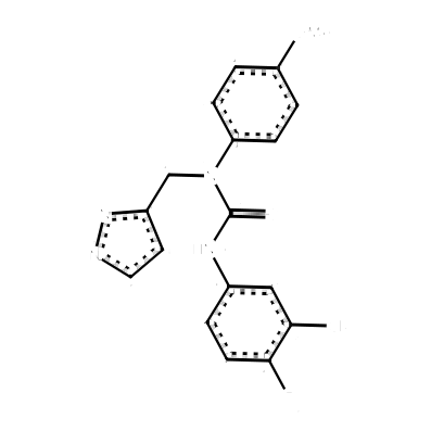 COc1ccc(N(Cc2cc[nH]n2)C(=O)Nc2ccc(F)c(Cl)c2)cc1